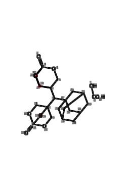 O=C(O)O.O=P12OCC(C(C34COP(=O)(OC3)OC4)C34CC5CC(CC(C5)C3)C4)(CO1)CO2